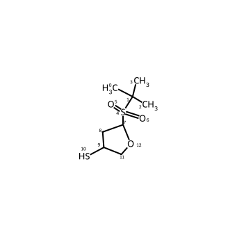 CC(C)(C)S(=O)(=O)C1CC(S)CO1